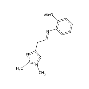 COc1ccccc1N=CCc1cn(C)c(C)n1